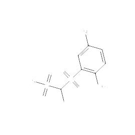 CCCC(S(N)(=O)=O)S(=O)(=O)c1cc(N)ccc1OC